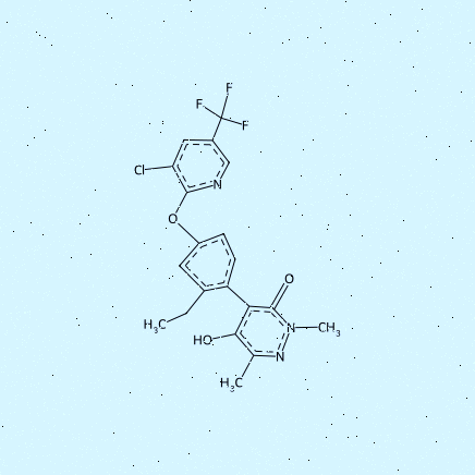 CCc1cc(Oc2ncc(C(F)(F)F)cc2Cl)ccc1-c1c(O)c(C)nn(C)c1=O